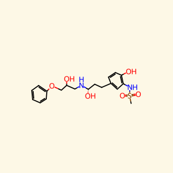 CS(=O)(=O)Nc1cc(CC[C@H](O)NCC(O)COc2ccccc2)ccc1O